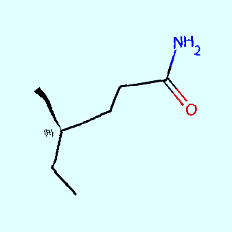 CC[C@@H](C)CCC(N)=O